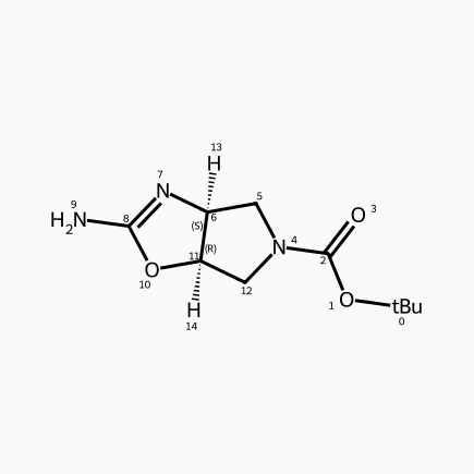 CC(C)(C)OC(=O)N1C[C@@H]2N=C(N)O[C@@H]2C1